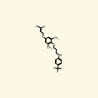 Cc1cc(OCC=C(Cl)Cl)cc(C)c1OCCCNc1ccc(C(F)(F)F)cc1